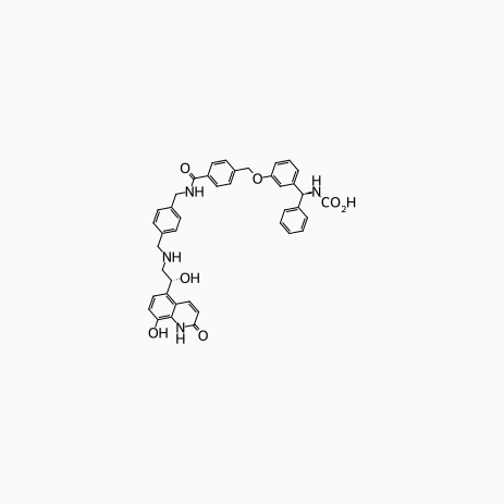 O=C(O)N[C@@H](c1ccccc1)c1cccc(OCc2ccc(C(=O)NCc3ccc(CNC[C@H](O)c4ccc(O)c5[nH]c(=O)ccc45)cc3)cc2)c1